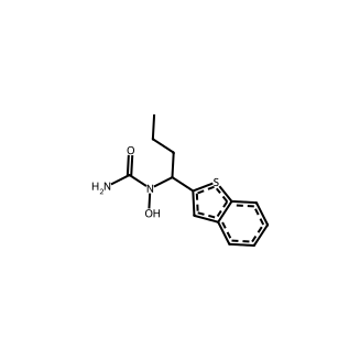 CCCC(c1cc2ccccc2s1)N(O)C(N)=O